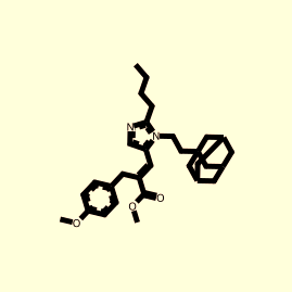 CCCCc1ncc(/C=C(\Cc2ccc(OC)cc2)C(=O)OC)n1CCC12CC3CC(CC(C3)C1)C2